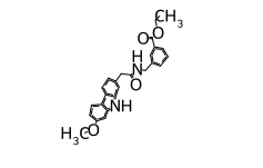 CCOC(=O)c1cccc(CNC(=O)Cc2ccc3c(c2)[nH]c2cc(OC)ccc23)c1